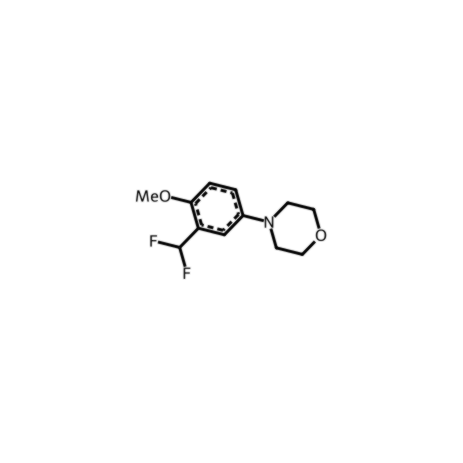 COc1ccc(N2CCOCC2)cc1C(F)F